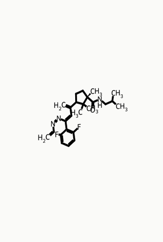 C=C/N=N\C(=C/C(=C)C1CC[C@](C)(C(=O)NCC(C)C)C1(C)C)c1c(F)cccc1F